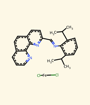 CC(C)c1cccc(C(C)C)c1N=Cc1ccc2ccc3cccnc3c2n1.[Cl][Fe][Cl]